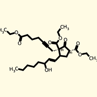 CCCCCC(O)C=CC1C[C@@H](C(=O)OCC)C(=O)[C@]1(CC#CCCCC(=O)OCC)C(=O)OCC